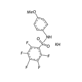 COc1ccc(NS(=O)(=O)c2c(F)c(F)c(F)c(F)c2F)cc1.[KH]